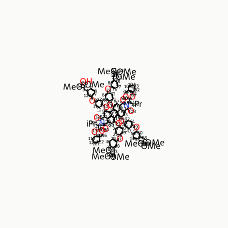 CO[Si](O)(Cc1cccc(Oc2ccc(Oc3cc4c5c(cc(Oc6ccc(Oc7cccc(C[Si](OC)(OC)OC)c7)cc6)c6c7c(Oc8ccc(Oc9cccc(C[Si](OC)(OC)OC)c9)cc8)cc8c9c(cc(Oc%10ccc(Oc%11cccc(C[Si](OC)(OC)OC)c%11)cc%10)c(c3c56)c97)C(=O)N(C(C(=O)OCc3ccccc3)C(C)C)C8=O)C(=O)N(C(C(=O)OCc3ccccc3)C(C)C)C4=O)cc2)c1)OC